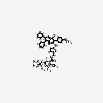 COc1ccc(-c2c(NC3=NN(COC(=O)[C@@H](NC(=O)OC(C)(C)C)C(C)C)CC3)[nH]c3c(-c4ccccc4)c(-c4ccccc4)nn3c2=O)cc1